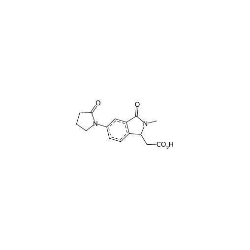 CN1C(=O)c2cc(N3CCCC3=O)ccc2C1CC(=O)O